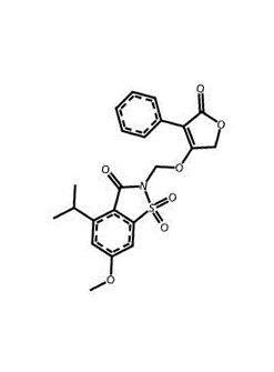 COc1cc(C(C)C)c2c(c1)S(=O)(=O)N(COC1=C(c3ccccc3)C(=O)OC1)C2=O